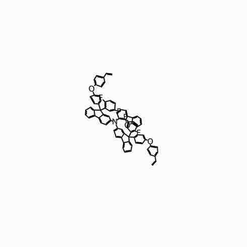 C=Cc1ccc(Oc2ccc(C3(c4cc(F)ccc4F)c4ccccc4-c4ccc(N(c5ccc6c(c5)C(c5ccc(Oc7ccc(C=C)cc7)cc5)(c5cc(F)ccc5F)c5ccccc5-6)c5cccc6c5oc5ccccc56)cc43)cc2)cc1